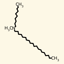 CCCCCCCCCCCCCCCCCCCCN(C)CCCCCCCCCC